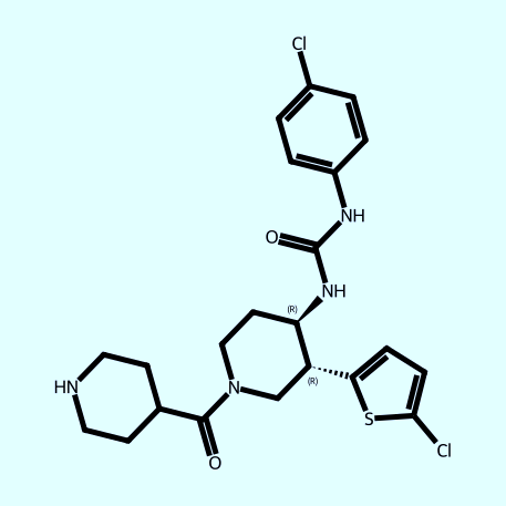 O=C(Nc1ccc(Cl)cc1)N[C@@H]1CCN(C(=O)C2CCNCC2)C[C@H]1c1ccc(Cl)s1